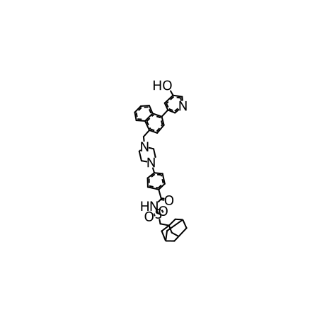 O=C(NS(=O)(=O)CC12CC3CC(CC(C3)C1)C2)c1ccc(N2CCN(Cc3ccc(-c4cncc(O)c4)c4ccccc34)CC2)cc1